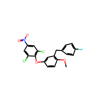 COc1ccc(Oc2c(Cl)cc([N+](=O)[O-])cc2Cl)cc1Cc1ccc(F)cc1